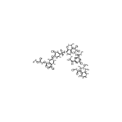 CC1COc2ccccc2N1C(=O)C(Cl)Cl.CCNc1nc(Cl)nc(NC(C)C)n1.CCOC(=O)COC(=O)c1cc(Oc2ccc(C(F)(F)F)cc2Cl)ccc1[N+](=O)[O-].CCc1cccc(C)c1N(C(=O)CCl)C(C)COC